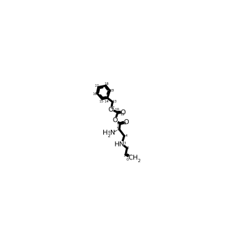 C=CCNC[C@H](N)C(=O)OC(=O)OCc1ccccc1